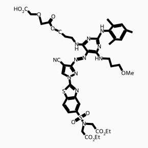 CCOC(=O)CN(CC(=O)OCC)S(=O)(=O)c1ccc2sc(-n3cc(C#N)c(N=Nc4c(NCCCOC)nc(Nc5c(C)cc(C)cc5C)nc4NCCCOC(=O)COCC(=O)O)n3)nc2c1